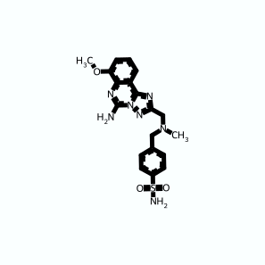 COc1cccc2c1nc(N)n1nc(CN(C)Cc3ccc(S(N)(=O)=O)cc3)nc21